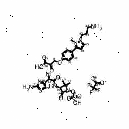 C[n+]1c(-c2ccc(OCC(ON=C(C(=O)NC3C(=O)N(OS(=O)(=O)O)C3(C)C)c3csc(N)n3)C(=O)O)cc2)ccn1CCCN.O=C([O-])C(F)(F)F